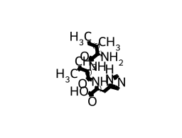 CC[C@H](C)[C@H](N)C(=O)N[C@H](C(=O)N[C@@H](Cc1cnc[nH]1)C(=O)O)C(C)C